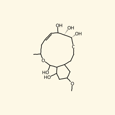 COC1CC(O)C2C(CCC[C@@H](O)[C@@H](O)C(O)/C=C\CC(C)OC2O)C1